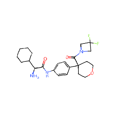 N[C@H](C(=O)Nc1ccc(C2(C(=O)N3CC(F)(F)C3)CCOCC2)cc1)C1CCCCC1